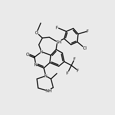 COC1Cn2c(=O)nc(N3CCNCC3C)c3cc(C(F)(F)F)cc(c32)[SH](c2cc(Cl)c(F)cc2F)C1